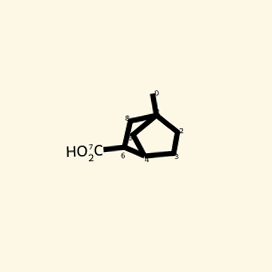 CC12CCC(C1)C(C(=O)O)C2